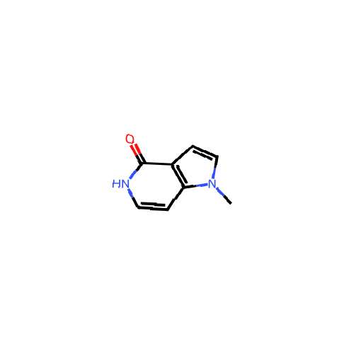 Cn1ccc2c(=O)[nH]ccc21